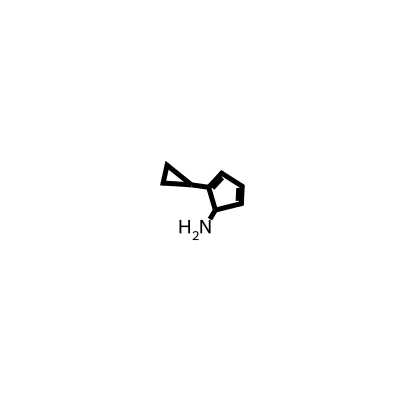 NC1C=CC=C1C1CC1